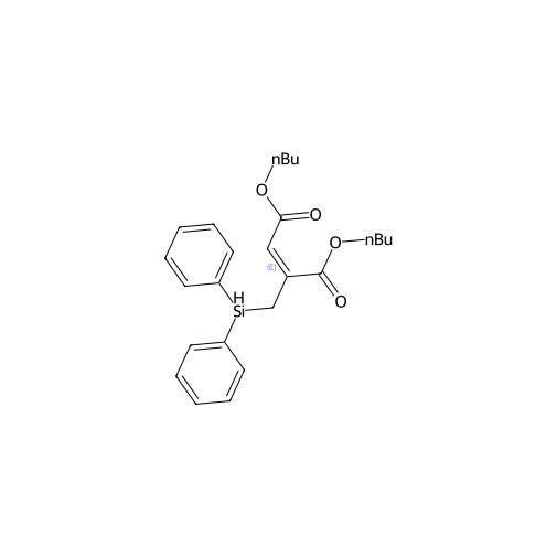 CCCCOC(=O)/C=C(/C[SiH](c1ccccc1)c1ccccc1)C(=O)OCCCC